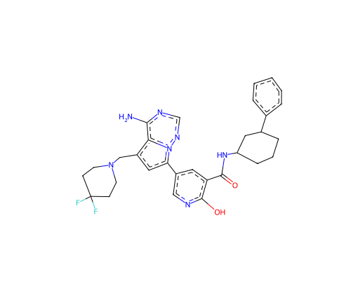 Nc1ncnn2c(-c3cnc(O)c(C(=O)NC4CCCC(c5ccccc5)C4)c3)cc(CN3CCC(F)(F)CC3)c12